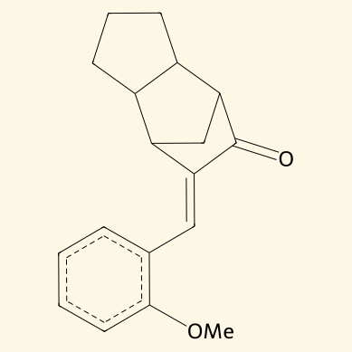 COc1ccccc1C=C1C(=O)C2CC1C1CCCC21